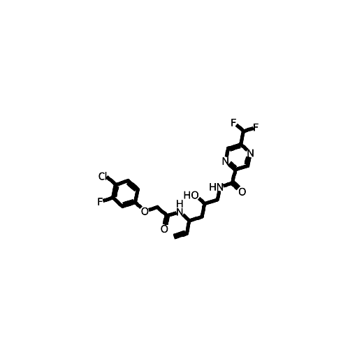 C=CC(CC(O)CNC(=O)c1cnc(C(F)F)cn1)NC(=O)COc1ccc(Cl)c(F)c1